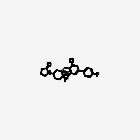 O=C1CCCN1C1CCC(F)(F)[C@@H](Cc2c(Cl)cc(-c3ccc(F)cc3)cc2Cl)C1